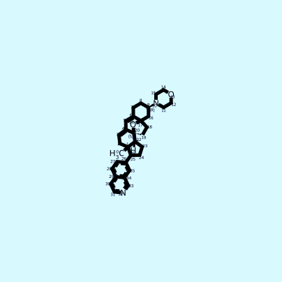 CC12CC=C3C=C4CC[C@@H](N5CCOCC5)CC45CC[C@]3(O5)[C@@H]1CCC2c1ccc2ccncc2c1